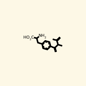 C=C(C)C(C)C(=C)c1ccc(CC(N)C(=O)O)cc1